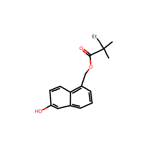 CCC(C)(C)C(=O)OCc1cccc2cc(O)ccc12